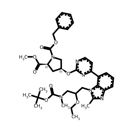 CCOC(CN(C)C(=O)OC(C)(C)C)Cn1c(C)nc2cccc(-c3ccnc(O[C@H]4C[C@@H](C(=O)OC)N(C(=O)OCc5ccccc5)C4)n3)c21